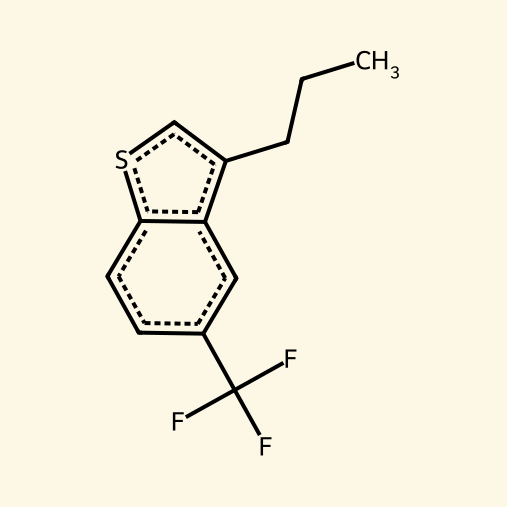 CCCc1csc2ccc(C(F)(F)F)cc12